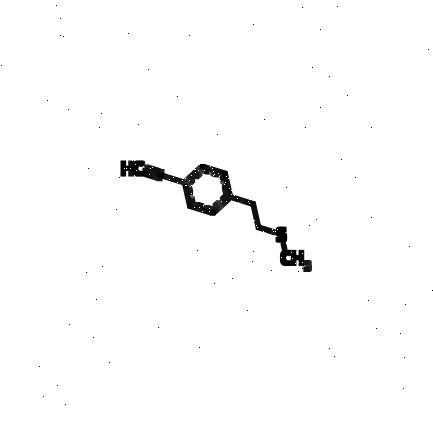 C#Cc1ccc(CCSC)cc1